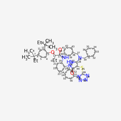 CCC(Oc1ccc(C(C)(C)CC)cc1C(C)(C)CC)C(=O)Nc1ccccc1-n1[nH]c(N(Cc2ccccc2)Cc2ccccc2)c(Sc2nnnn2-c2ccccc2)c1=O